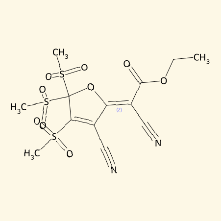 CCOC(=O)/C(C#N)=C1\OC(S(C)(=O)=O)(S(C)(=O)=O)C(S(C)(=O)=O)=C1C#N